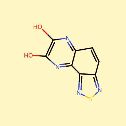 Oc1nc2ccc3nsnc3c2nc1O